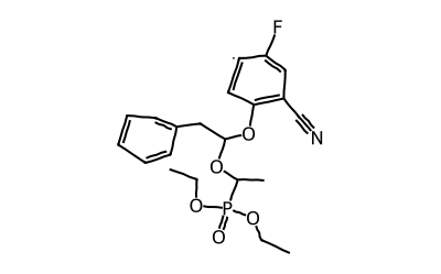 CCOP(=O)(OCC)C(C)OC(Cc1ccccc1)Oc1c[c]c(F)cc1C#N